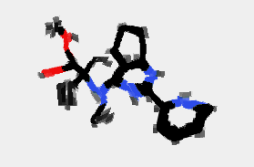 COC(=O)C(C)(C)N(C)c1nc(-c2ccccn2)nc2c1CCC2